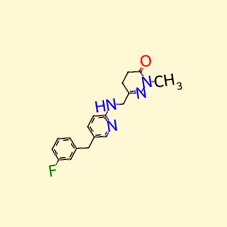 CN1N=C(CNc2ccc(Cc3cccc(F)c3)cn2)CCC1=O